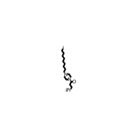 CC(C)CCC(=O)N1CCN(CCCCCCCCCI)CC1